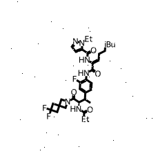 CCC(=O)N[C@@H](C(=O)N1CC2(C1)CC(F)(F)C2)C(C)c1ccc(NC(=O)/C(=C/CCC(C)CC)NC(=O)c2ccnn2CC)c(F)c1